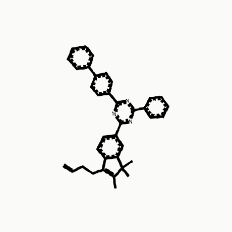 C=CCCC1=C(C)C(C)(C)c2cc(-c3nc(-c4ccccc4)nc(-c4ccc(-c5ccccc5)cc4)n3)ccc21